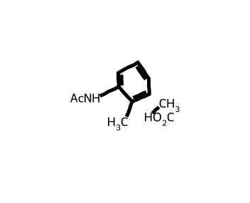 CC(=O)Nc1ccccc1C.CC(=O)O